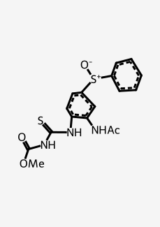 COC(=O)NC(=S)Nc1ccc([S+]([O-])c2ccccc2)cc1NC(C)=O